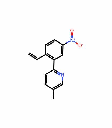 C=Cc1ccc([N+](=O)[O-])cc1-c1ccc(C)cn1